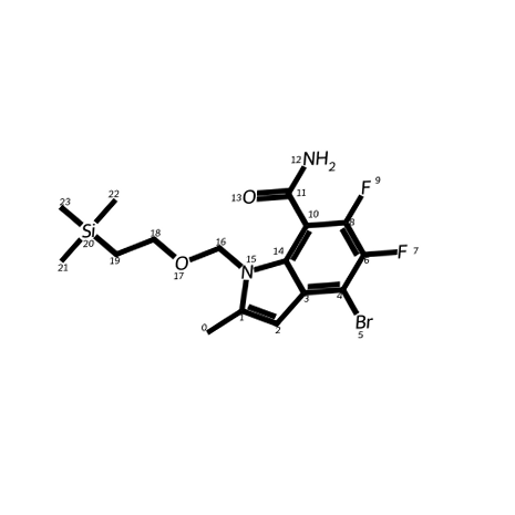 Cc1cc2c(Br)c(F)c(F)c(C(N)=O)c2n1COCC[Si](C)(C)C